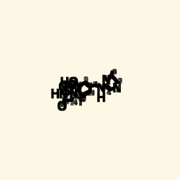 Cc1cncc(NCc2cc(O)c(N3CC(=O)NS3(=O)=O)c(F)c2)n1